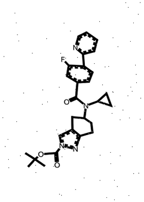 CC(C)(C)OC(=O)n1cc2c(n1)CCC(N(C(=O)c1ccc(-c3ccccn3)c(F)c1)C1CC1)C2